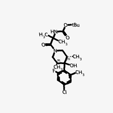 Cc1cc(Cl)cc(F)c1C1(O)[C@H](C)CN(C(=O)C(C)(C)NC(=O)OC(C)(C)C)C[C@@H]1C